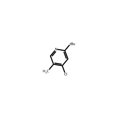 Cc1cnc(C(C)(C)C)cc1Cl